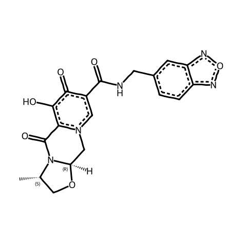 C[C@H]1CO[C@@H]2Cn3cc(C(=O)NCc4ccc5nonc5c4)c(=O)c(O)c3C(=O)N12